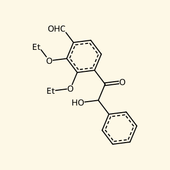 CCOc1c(C=O)ccc(C(=O)C(O)c2ccccc2)c1OCC